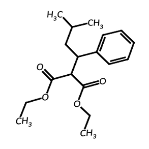 CCOC(=O)C(C(=O)OCC)C(CC(C)C)c1ccccc1